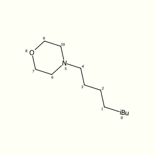 CCC(C)CCCCN1CCOCC1